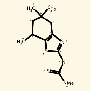 CNC(=S)Nc1nc2c(s1)C(C)CC(C)(C)C2